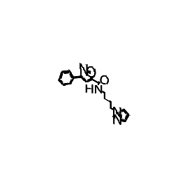 O=C(NCCCCn1cccn1)c1cc(-c2ccccc2)no1